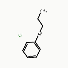 CC[CH2][Al+][c]1ccccc1.[Cl-]